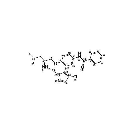 CC(C)C[C@H](N)COc1ccc(NC(=O)c2ccccc2)cc1-c1c(Cl)cnn1C